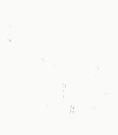 Cc1cc(Oc2cccnn2)ncc1N1C(=O)Nc2c(C(=O)O)sc3nccc1c23